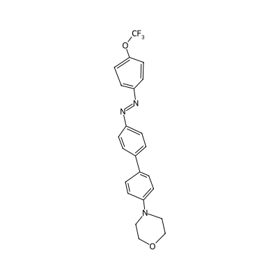 FC(F)(F)Oc1ccc(N=Nc2ccc(-c3ccc(N4CCOCC4)cc3)cc2)cc1